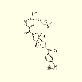 O=C(c1ccc2c(c1)NNN2)N1C[C@@H]2[C@H](C1)[C@H]1CN(C(=O)c3cc(OCC(F)(F)F)c(C4CC4)nn3)C[C@@H]21